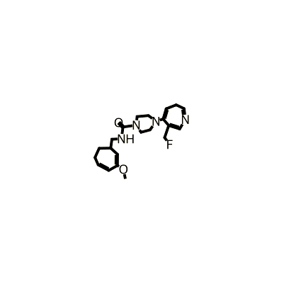 COC1=CC(CNC(=O)N2CCN(C3=CCC=NC=C3CF)CC2)CCC=C1